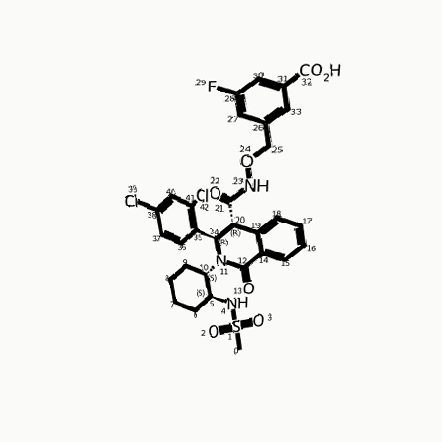 CS(=O)(=O)N[C@H]1CCCC[C@@H]1N1C(=O)c2ccccc2[C@@H](C(=O)NOCc2cc(F)cc(C(=O)O)c2)[C@@H]1c1ccc(Cl)cc1Cl